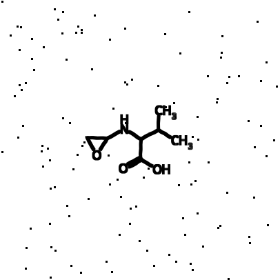 CC(C)C(NC1CO1)C(=O)O